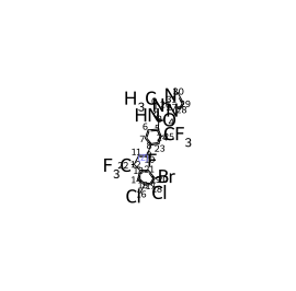 CN(NC(=O)c1ccc(/C(F)=C/C(c2cc(Cl)c(Cl)c(Br)c2)C(F)(F)F)cc1C(F)(F)F)c1ncccn1